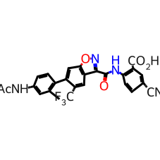 CC(=O)Nc1ccc(-c2cc3onc(C(=O)Nc4ccc(C#N)cc4C(=O)O)c3cc2C(F)(F)F)c(C)c1